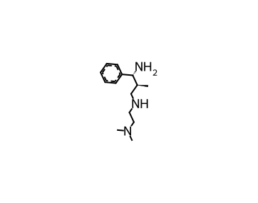 C[C@@H](CNCCN(C)C)[C@@H](N)c1ccccc1